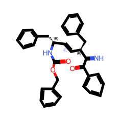 N=C(C(=O)c1ccccc1)[C@@H](/C=C/[C@@H](Cc1ccccc1)NC(=O)OCc1ccccc1)Cc1ccccc1